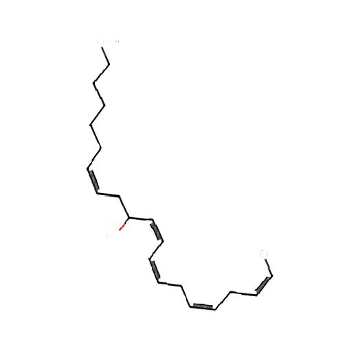 CC/C=C\C/C=C\C/C=C\C=C/C(O)C/C=C\CCCCCC(=O)O